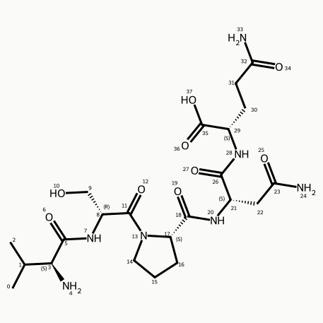 CC(C)[C@H](N)C(=O)N[C@H](CO)C(=O)N1CCC[C@H]1C(=O)N[C@@H](CC(N)=O)C(=O)N[C@@H](CCC(N)=O)C(=O)O